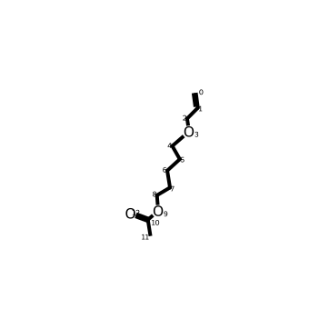 C=CCOCCCCCOC(C)=O